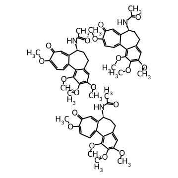 COc1cc2c(c(OC)c1OC)-c1ccc(OC)c(=O)cc1[C@@H](NC(C)=O)CC2.COc1cc2c(c(OC)c1OC)-c1ccc(OC)c(=O)cc1[C@@H](NC(C)=O)CC2.COc1cc2c(c(OC)c1OC)-c1ccc(OC)c(=O)cc1[C@@H](NC(C)=O)CC2